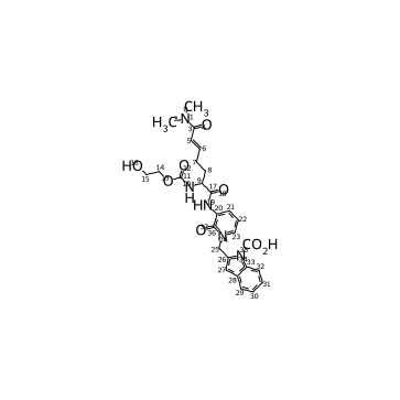 CN(C)C(=O)/C=C/CCC(NC(=O)OCCO)C(=O)Nc1cccn(Cc2cc3ccccc3n2C(=O)O)c1=O